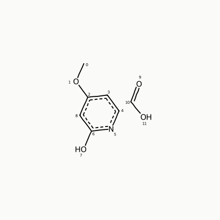 COc1ccnc(O)c1.O=CO